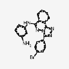 Nc1cccc(Nc2nn3c(-c4ccc(Br)cc4)nnc3c3ccccc23)c1